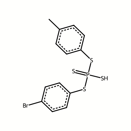 Cc1ccc(SP(=S)(S)Sc2ccc(Br)cc2)cc1